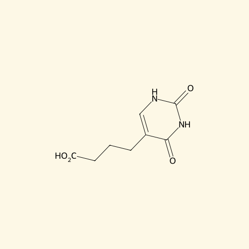 O=C(O)CCCc1c[nH]c(=O)[nH]c1=O